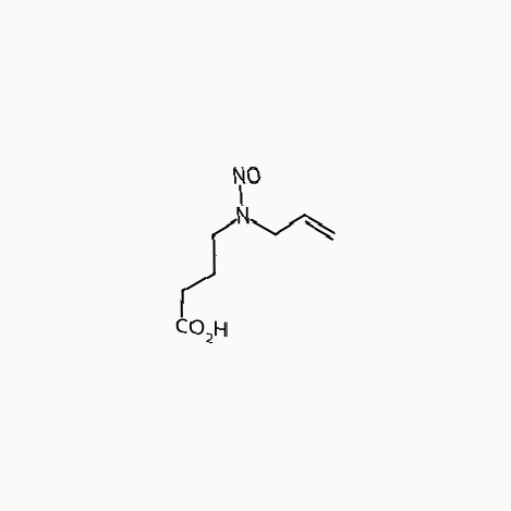 C=CCN(CCCC(=O)O)N=O